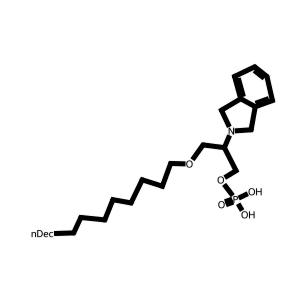 CCCCCCCCCCCCCCCCCCOCC(COP(=O)(O)O)N1Cc2ccccc2C1